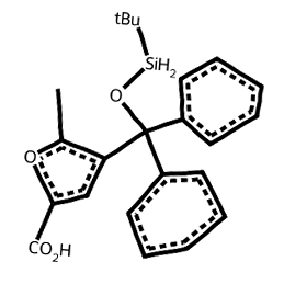 Cc1oc(C(=O)O)cc1C(O[SiH2]C(C)(C)C)(c1ccccc1)c1ccccc1